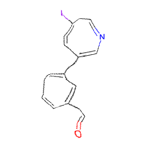 O=Cc1cccc(-c2cncc(I)c2)c1